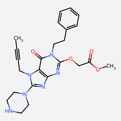 CC#CCn1c(N2CCNCC2)nc2nc(OCC(=O)OC)n(CCc3ccccc3)c(=O)c21